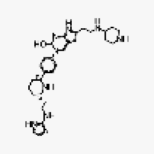 OC1N=c2[nH]c(CCNC3CCNCC3)cc2=CN1c1ccc([C@@H]2CCC[C@@H](CCNc3ncc[nH]3)N2)cc1